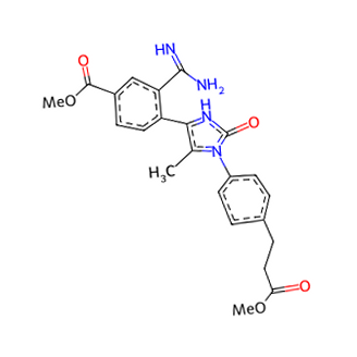 COC(=O)CCc1ccc(-n2c(C)c(-c3ccc(C(=O)OC)cc3C(=N)N)[nH]c2=O)cc1